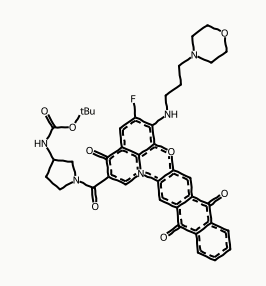 CC(C)(C)OC(=O)NC1CCN(C(=O)c2cn3c4cc5c(=O)c6ccccc6c(=O)c5cc4oc4c(NCCCN5CCOCC5)c(F)cc(c2=O)c43)C1